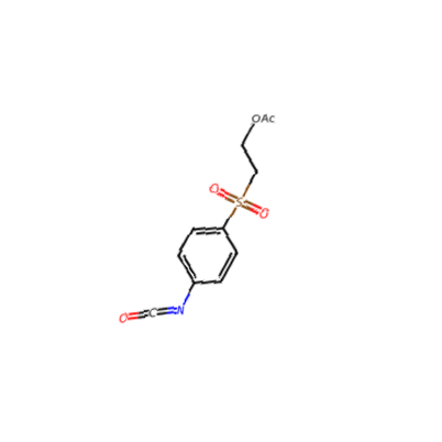 CC(=O)OCCS(=O)(=O)c1ccc(N=C=O)cc1